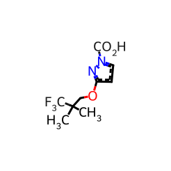 CC(C)(COc1ccn(C(=O)O)n1)C(F)(F)F